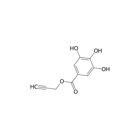 C#CCOC(=O)c1cc(O)c(O)c(O)c1